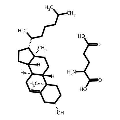 CC(C)CCCC(C)[C@H]1CC[C@H]2[C@@H]3CC=C4C[C@@H](O)CC[C@]4(C)[C@H]3CC[C@]12C.NC(CCC(=O)O)C(=O)O